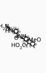 COc1ccccc1C(CC(=O)O)c1cccc(CNC(=O)c2cccc(NC=NN)c2)c1